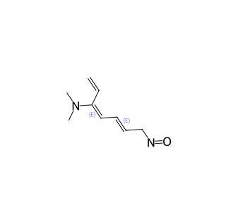 C=C/C(=C\C=C\CN=O)N(C)C